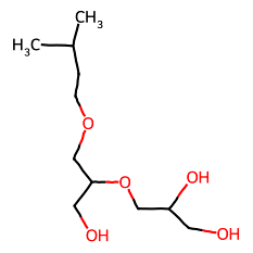 CC(C)CCOCC(CO)OCC(O)CO